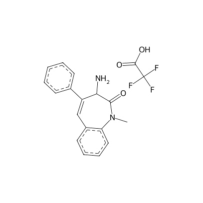 CN1C(=O)C(N)C(c2ccccc2)=Cc2ccccc21.O=C(O)C(F)(F)F